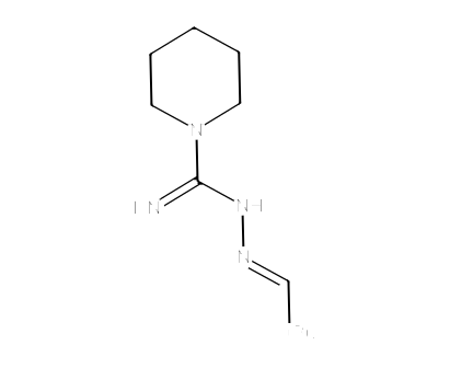 CC(C)(C)/C=N/NC(=N)N1CCCCC1